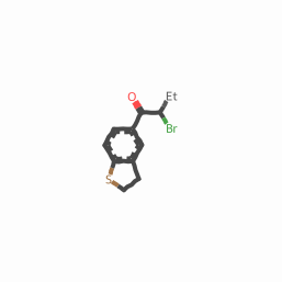 CCC(Br)C(=O)c1ccc2c(c1)CCS2